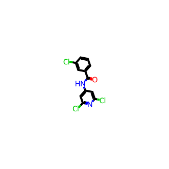 O=C(Nc1cc(Cl)nc(Cl)c1)c1cccc(Cl)c1